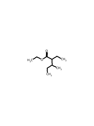 CCOC(=O)C(CC)C(C)CC